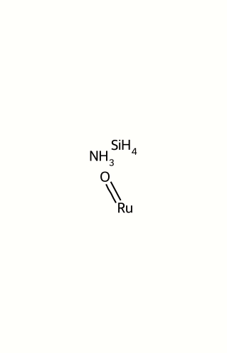 N.[O]=[Ru].[SiH4]